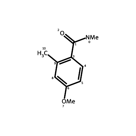 CNC(=O)c1ccc(OC)cc1C